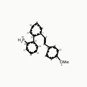 COc1ccc(C=Cc2ccccc2-c2ccccc2P)cc1